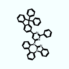 c1ccc(-c2nc(-c3ccc4c(c3)C(c3ccccc3)(c3ccccc3)c3ccccc3-4)cc(N3c4ccccc4-c4ccccc4-n4c3nc3ccccc34)n2)cc1